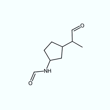 CC(C=O)C1CCC(NC=O)C1